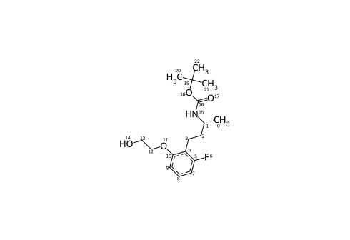 C[C@H](CCc1c(F)cccc1OCCO)NC(=O)OC(C)(C)C